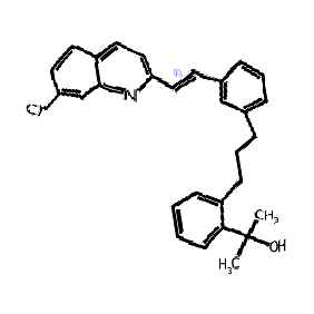 CC(C)(O)c1ccccc1CCCc1cccc(/C=C/c2ccc3ccc(Cl)cc3n2)c1